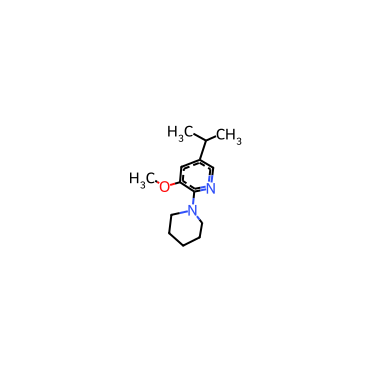 COc1cc(C(C)C)cnc1N1CCCCC1